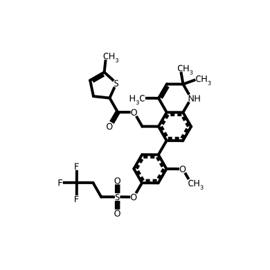 COc1cc(OS(=O)(=O)CCC(F)(F)F)ccc1-c1ccc2c(c1COC(=O)C1CC=C(C)S1)C(C)=CC(C)(C)N2